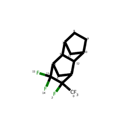 FC(F)(F)C1(F)C2CC(C3C4CCC(C4)C32)C1(F)F